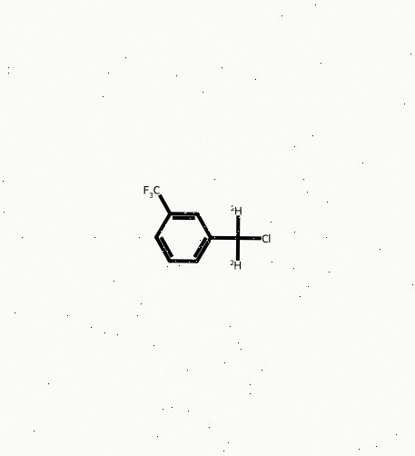 [2H]C([2H])(Cl)c1cccc(C(F)(F)F)c1